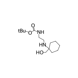 CC(C)(C)OC(=O)NCCNC1(CO)CCCCC1